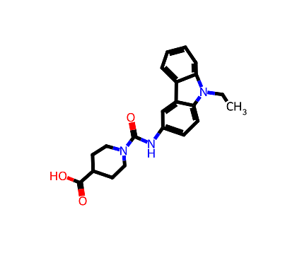 CCn1c2ccccc2c2cc(NC(=O)N3CCC(C(=O)O)CC3)ccc21